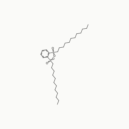 CCCCCCCCCCCCS(=O)(=O)c1[c]cccc1S(=O)(=O)CCCCCCCCCCCC